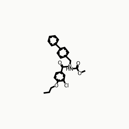 CCCOc1ccc(C(=O)N(Cc2ccc(-c3ccccc3)cc2)NC(=O)OC)cc1Cl